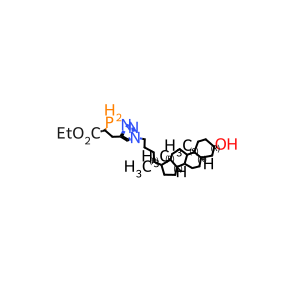 CCOC(=O)C(P)Cc1cn(CCC[C@@H](C)C2CC[C@H]3C4CC[C@@H]5C[C@H](O)CC[C@]5(C)C4CC[C@]23C)nn1